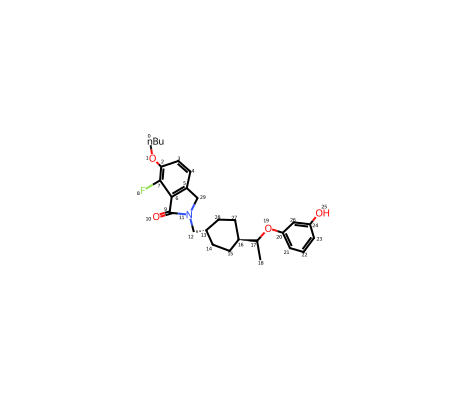 CCCCOc1ccc2c(c1F)C(=O)N(C[C@H]1CC[C@H](C(C)Oc3cccc(O)c3)CC1)C2